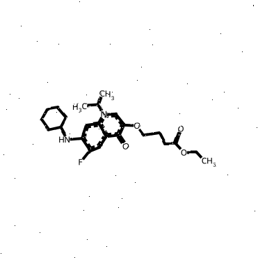 CCOC(=O)CCCOc1cn(C(C)C)c2cc(NC3CCCCC3)c(F)cc2c1=O